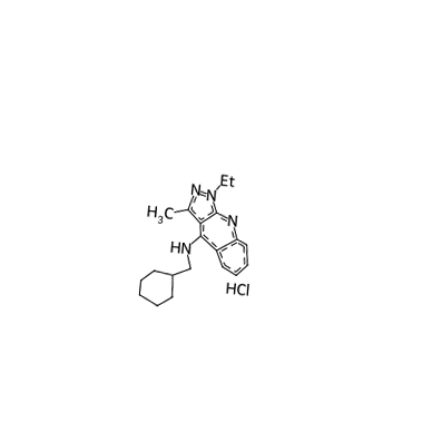 CCn1nc(C)c2c(NCC3CCCCC3)c3ccccc3nc21.Cl